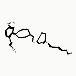 CCCc1ccc(OC)cc1C1CCC(CC[C@H]2CC[C@H](/C=C/CCCCF)CC2)CC1